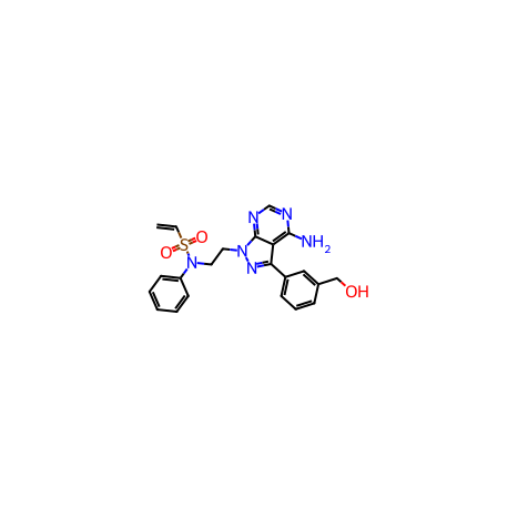 C=CS(=O)(=O)N(CCn1nc(-c2cccc(CO)c2)c2c(N)ncnc21)c1ccccc1